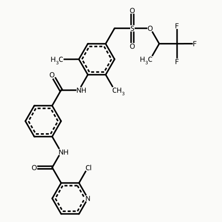 Cc1cc(CS(=O)(=O)OC(C)C(F)(F)F)cc(C)c1NC(=O)c1cccc(NC(=O)c2cccnc2Cl)c1